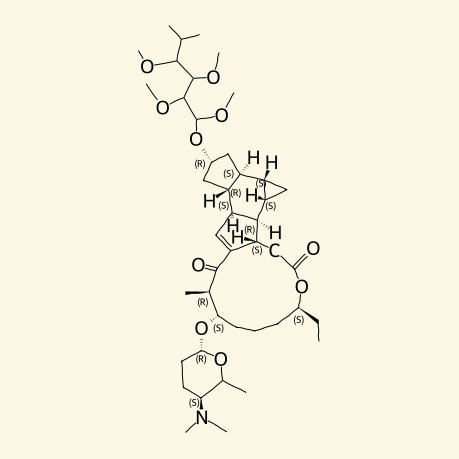 CC[C@H]1CCC[C@H](O[C@H]2CC[C@H](N(C)C)C(C)O2)[C@@H](C)C(=O)C2=C[C@H]3[C@@H]4C[C@H](OC(OC)C(OC)C(OC)C(OC)C(C)C)C[C@H]4[C@@H]4C[C@@H]4[C@H]3[C@@H]2CC(=O)O1